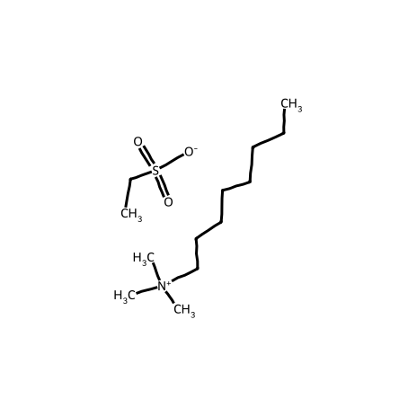 CCCCCCCC[N+](C)(C)C.CCS(=O)(=O)[O-]